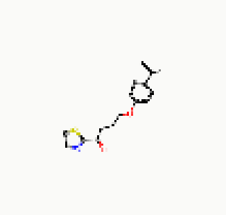 C=C(C)c1ccc(OCCCC(=O)c2nccs2)cc1